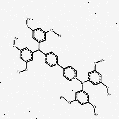 CC(C)Oc1cc(OC(C)C)cc(N(c2ccc(-c3ccc(N(c4cc(OC(C)C)cc(OC(C)C)c4)c4cc(OC(C)C)cc(OC(C)C)c4)cc3)cc2)c2cc(OC(C)C)cc(OC(C)C)c2)c1